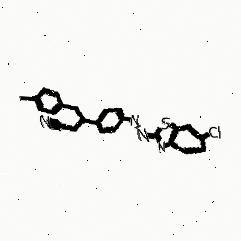 Cc1ccc(CC(CC#N)c2ccc(N=Nc3nc4ccc(Cl)cc4s3)cc2)cc1